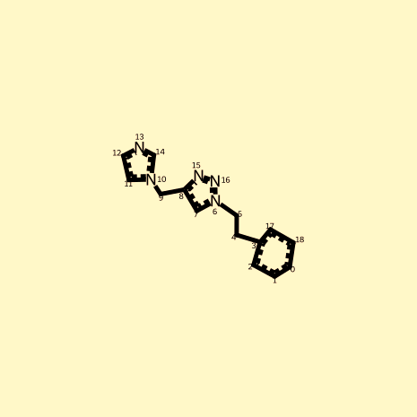 c1ccc(CCn2cc(Cn3ccnc3)nn2)cc1